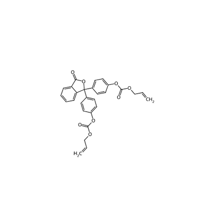 C=CCOC(=O)Oc1ccc(C2(c3ccc(OC(=O)OCC=C)cc3)OC(=O)c3ccccc32)cc1